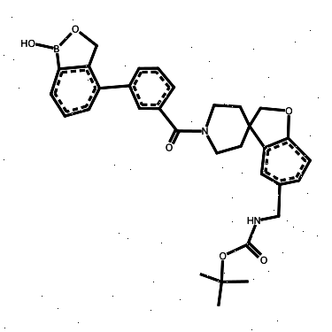 CC(C)(C)OC(=O)NCc1ccc2c(c1)C1(CCN(C(=O)c3cccc(-c4cccc5c4COB5O)c3)CC1)CO2